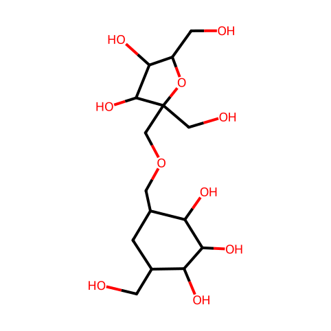 OCC1CC(COCC2(CO)OC(CO)C(O)C2O)C(O)C(O)C1O